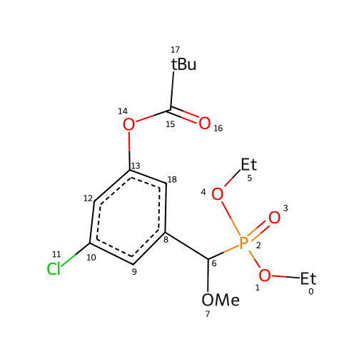 CCOP(=O)(OCC)C(OC)c1cc(Cl)cc(OC(=O)C(C)(C)C)c1